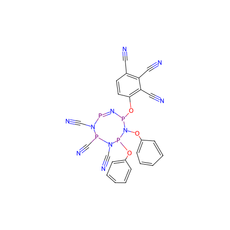 N#Cc1ccc(Op2npn(C#N)p(C#N)n(C#N)p(Oc3ccccc3)n2Oc2ccccc2)c(C#N)c1C#N